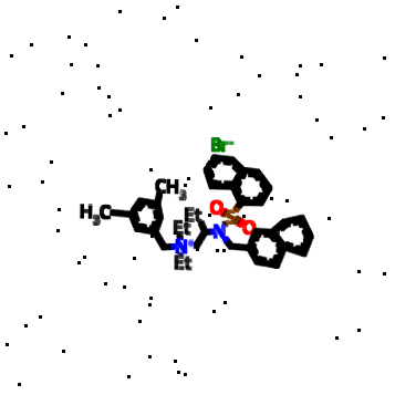 CCC(C[N+](CC)(CC)Cc1cc(C)cc(C)c1)N(Cc1ccc2ccccc2c1)S(=O)(=O)c1cccc2ccccc12.[Br-]